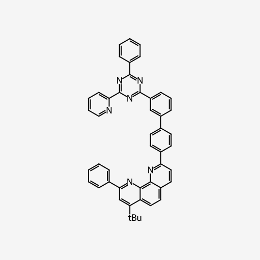 CC(C)(C)c1cc(-c2ccccc2)nc2c1ccc1ccc(-c3ccc(-c4cccc(-c5nc(-c6ccccc6)nc(-c6ccccn6)n5)c4)cc3)nc12